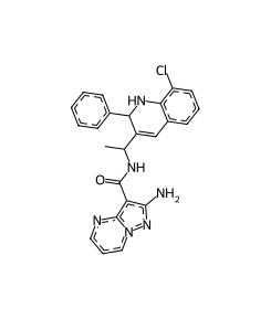 CC(NC(=O)c1c(N)nn2cccnc12)C1=Cc2cccc(Cl)c2NC1c1ccccc1